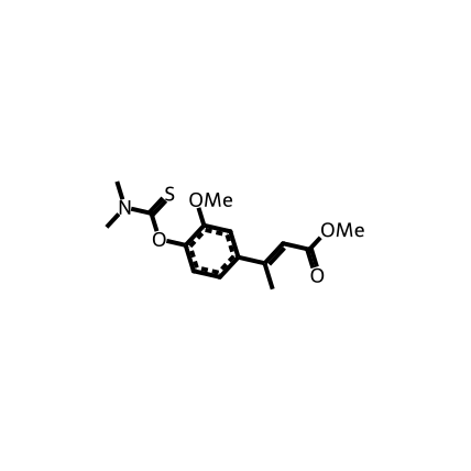 COC(=O)C=C(C)c1ccc(OC(=S)N(C)C)c(OC)c1